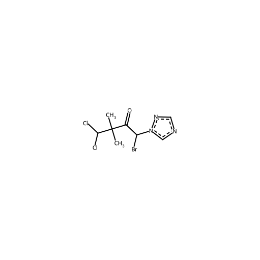 CC(C)(C(=O)C(Br)n1cncn1)C(Cl)Cl